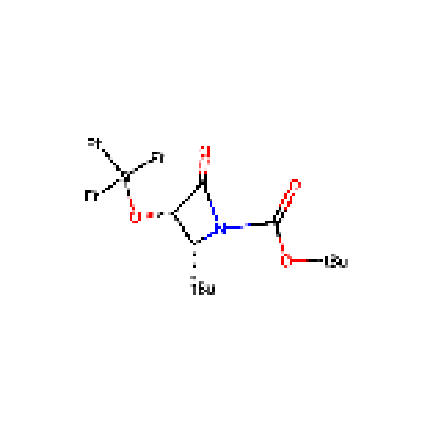 CC[Si](CC)(CC)O[C@@H]1C(=O)N(C(=O)OC(C)(C)C)[C@@H]1C(C)(C)C